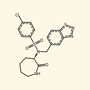 O=C1NCCCC[C@H]1N(Cc1ccc2snnc2c1)S(=O)(=O)c1ccc(Cl)cc1